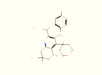 COC(C)c1nc2c(c3c1[C@@H](c1ccc(C(F)(F)F)cc1)OC31CCOCC1)[C@@H](O)CC(C)(C)C2